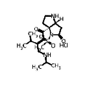 CC(C)NC/C(=C/C(=O)[C@]12CCN[C@@H]1CC(=O)N2S(C)(=O)=O)C(C)C.Cl